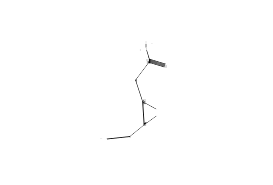 CC(C)CC1OC1CC(=O)C(C)C